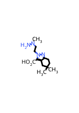 CN(N)CCn1nc2c(c1C(=O)O)CC(C)(C)CC2